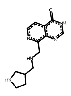 O=c1[nH]cnc2c(CNCC3CCNC3)nccc12